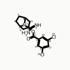 N=C(N)N1C2CCC1CC(OC(=O)c1cc(Cl)cc(Cl)c1)C2